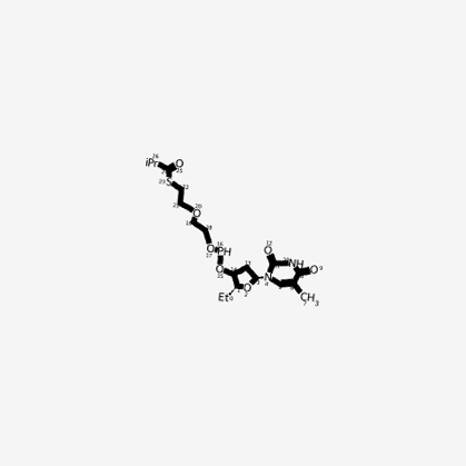 CC[C@H]1O[C@@H](n2cc(C)c(=O)[nH]c2=O)CC1OPOCCOCCSC(=O)C(C)C